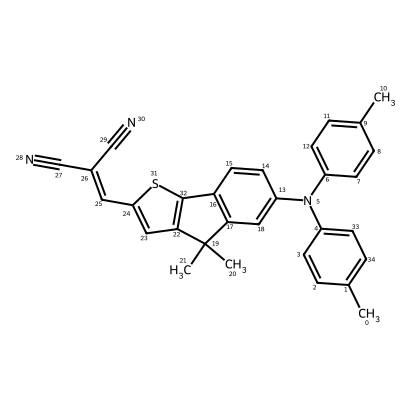 Cc1ccc(N(c2ccc(C)cc2)c2ccc3c(c2)C(C)(C)c2cc(C=C(C#N)C#N)sc2-3)cc1